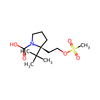 CC(C)(C)[C@@]1(CCOS(C)(=O)=O)CCCN1C(=O)O